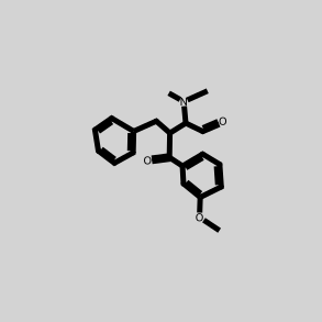 COc1cccc(C(=O)C(Cc2ccccc2)C(C=O)N(C)C)c1